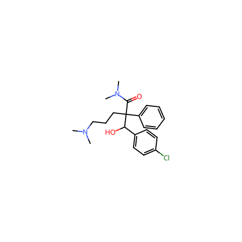 CN(C)CCCC(C(=O)N(C)C)(c1ccccc1)C(O)c1ccc(Cl)cc1